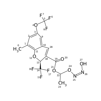 Cc1cc(OC(F)(F)F)cc2c1O[C@H](C(F)(F)F)C(C(=O)OC(C)O/N=N\O)=C2